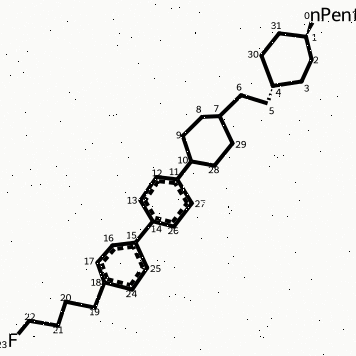 CCCCC[C@H]1CC[C@H](CCC2CCC(c3ccc(-c4ccc(CCCCF)cc4)cc3)CC2)CC1